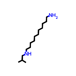 CC(C)CNCCCCCCCCCCCN